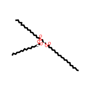 CCCCCCCCCCCCCCCCCCCCC(=O)OC[C@@H](COC(=O)CCCCCCCCCCCCCCC)OC(=O)CCCCCCCCCCCCCCC